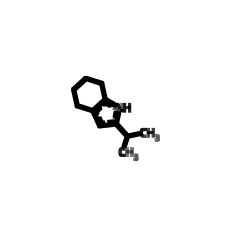 CC(C)c1cc2c([nH]1)CCCC2